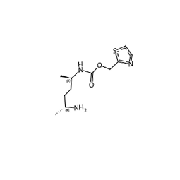 C[C@H](CC[C@@H](C)N)NC(=O)OCc1nccs1